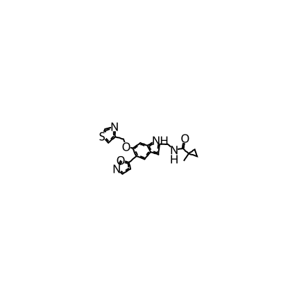 CC1(C(=O)NCc2cc3cc(-c4ccno4)c(OCc4cscn4)cc3[nH]2)CC1